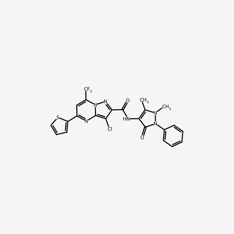 Cc1c(NC(=O)c2nn3c(C(F)(F)F)cc(-c4cccs4)nc3c2Cl)c(=O)n(-c2ccccc2)n1C